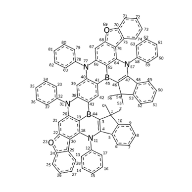 CC1(C)C2=C(c3ccccc31)N(c1ccccc1)c1c3c(cc4oc5ccccc5c14)N(c1ccccc1)c1cc4c(cc1B23)B1C2=C(c3ccccc3C2(C)C)N(c2ccccc2)c2c1c(cc1oc3ccccc3c21)N4c1ccccc1